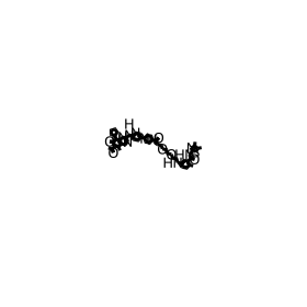 CC(=O)c1c(C)c2cnc(Nc3ccc(N4CCN(C(=O)CCOCCOCCNc5ccc(C)c(C(=O)Nc6nc(C)c(C)s6)c5)CC4)cn3)nc2n(C2CCCC2)c1=O